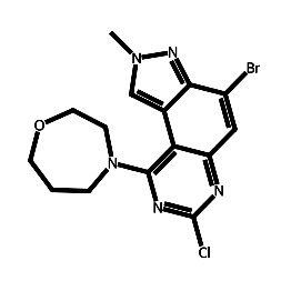 Cn1cc2c(n1)c(Br)cc1nc(Cl)nc(N3CCCOCC3)c12